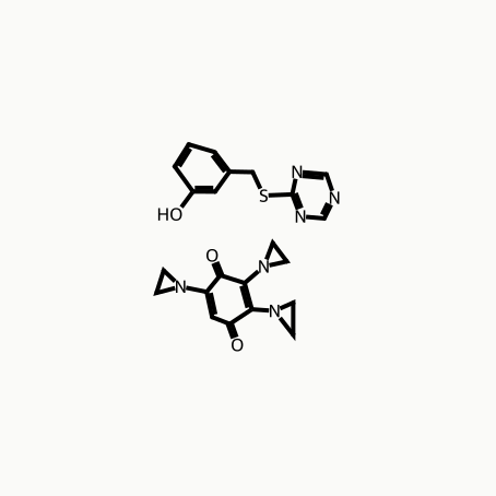 O=C1C=C(N2CC2)C(=O)C(N2CC2)=C1N1CC1.Oc1cccc(CSc2ncncn2)c1